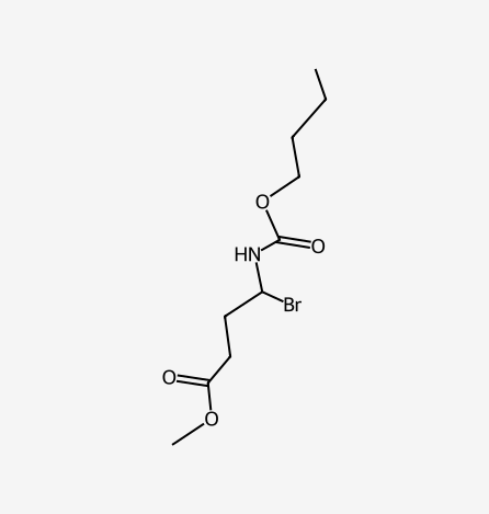 CCCCOC(=O)NC(Br)CCC(=O)OC